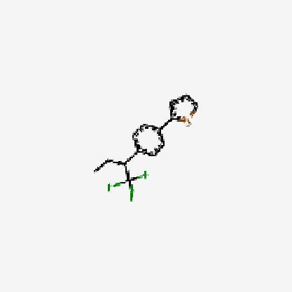 CCC(c1ccc(-c2cccs2)cc1)C(F)(F)F